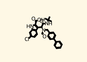 CC(C)(C)NC(=O)C(c1c(C(=O)O)[nH]c2cc(Cl)ccc12)N(C=O)Cc1ccc(-c2ccccc2)cc1